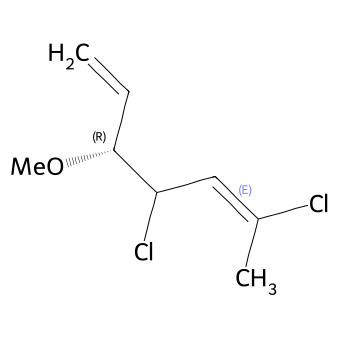 C=C[C@@H](OC)C(Cl)/C=C(\C)Cl